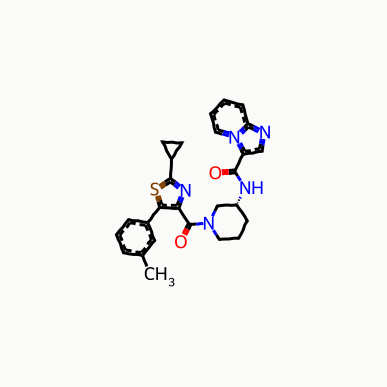 Cc1cccc(-c2sc(C3CC3)nc2C(=O)N2CCC[C@@H](NC(=O)c3cnc4ccccn34)C2)c1